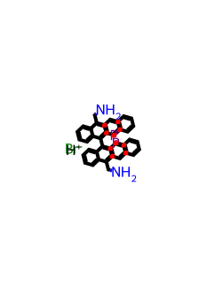 NCc1cc(P(c2ccccc2)c2ccccc2)c(-c2c(P(c3ccccc3)c3ccccc3)cc(CN)c3ccccc23)c2ccccc12.[Br-].[H+]